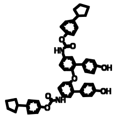 O=C(Nc1ccc(Oc2ccc(NC(=O)Oc3ccc(C4CCCC4)cc3)cc2-c2ccc(O)cc2)c(-c2ccc(O)cc2)c1)Oc1ccc(C2CCCC2)cc1